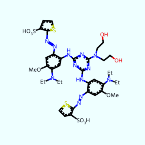 CCN(CC)c1cc(Nc2nc(Nc3cc(N(CC)CC)c(OC)cc3/N=N/c3sccc3S(=O)(=O)O)nc(N(CCO)CCO)n2)c(/N=N/c2sccc2S(=O)(=O)O)cc1OC